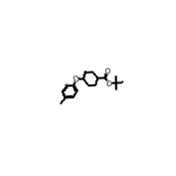 Cc1ccc(OC2CCC(C(=O)OC(C)(C)C)CC2)cc1